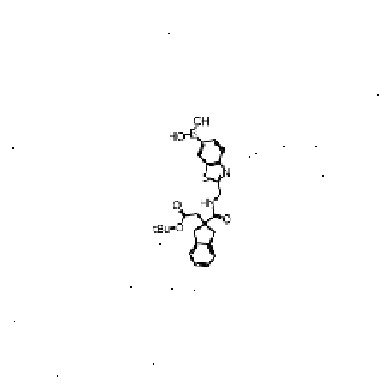 CC(C)(C)OC(=O)CC1(C(=O)NCc2nc3ccc(B(O)O)cc3s2)Cc2ccccc2C1